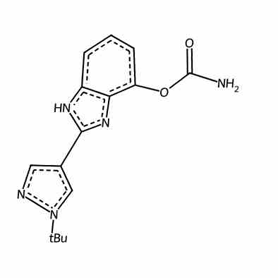 CC(C)(C)n1cc(-c2nc3c(OC(N)=O)cccc3[nH]2)cn1